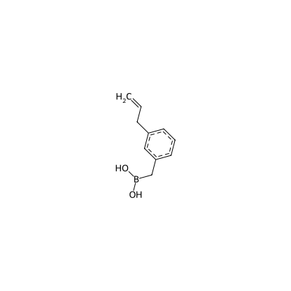 C=CCc1cccc(CB(O)O)c1